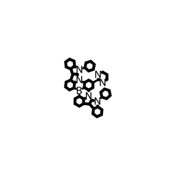 c1ccc(-n2c3ccccc3c3c4cccc5c4n(c32)-c2cc(-c3ncccn3)cc3c2B5c2cccc4c5c6ccccc6n(-c6ccccc6)c5n-3c24)cc1